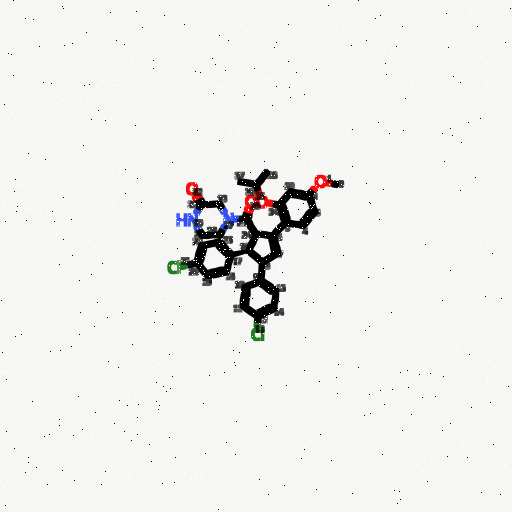 COc1ccc(C2=CC(c3ccc(Cl)cc3)[C@@H](c3ccc(Cl)cc3)C2C(=O)N2CCNC(=O)C2)c(OC(C)C)c1